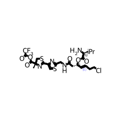 CC(C)[C@H](N)C(=O)O[C@H](/C=C/CCCl)CC(=O)NCc1nc(C2=N[C@](C)(C(=O)OC(=O)C(F)(F)F)CS2)cs1